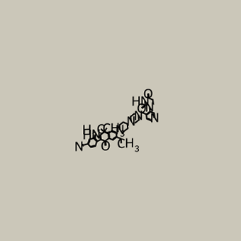 CCc1cc2c(cc1N1CCC(N3CCN(Cc4ccncc4N4CCC(=O)NC4=O)CC3)CC1)C(C)(C)c1[nH]c3cc(C#N)ccc3c1C2=O